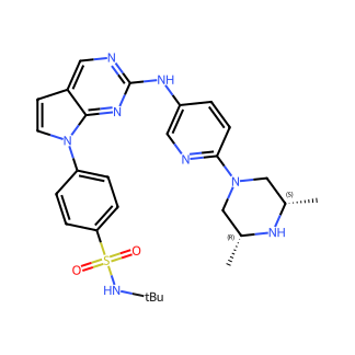 C[C@@H]1CN(c2ccc(Nc3ncc4ccn(-c5ccc(S(=O)(=O)NC(C)(C)C)cc5)c4n3)cn2)C[C@H](C)N1